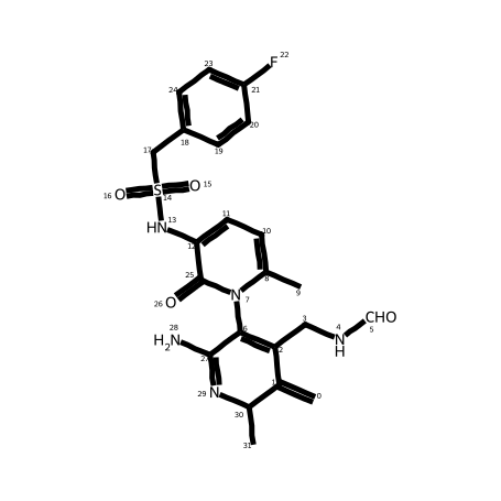 C=C1C(CNC=O)=C(n2c(C)ccc(NS(=O)(=O)Cc3ccc(F)cc3)c2=O)C(N)=NC1C